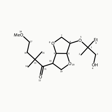 CCC(C)(CO)OC1COC2C(C(=O)C(C)(C)CCOC)COC12